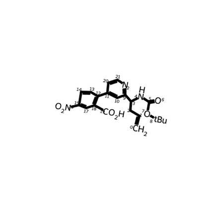 C=CCC(NC(=O)OC(C)(C)C)c1cc(-c2ccc([N+](=O)[O-])cc2C(=O)O)ccn1